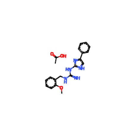 CC(=O)O.COc1ccccc1CNC(=N)Nc1nc(-c2ccccc2)c[nH]1